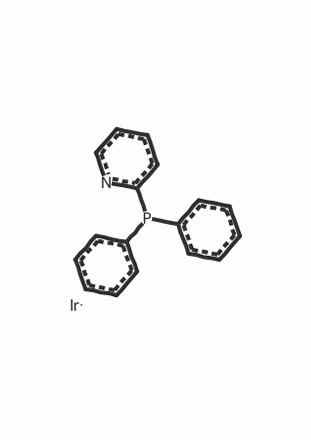 [Ir].c1ccc(P(c2ccccc2)c2ccccn2)cc1